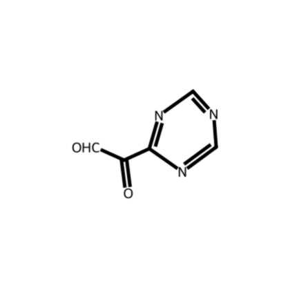 O=CC(=O)c1ncncn1